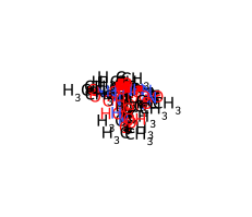 CN(C(=O)OC(C)(C)C)[C@@H]1[C@@H](O)[C@@H](O[C@@H]2[C@@H](O)[C@H](O[C@H]3OC(CNCC4COC(C)(C)N4C(=O)OC(C)(C)C)=CC[C@H]3NC(=O)OC(C)(C)C)[C@@H](NC(=O)OC(C)(C)C)C[C@H]2NC(=O)[C@@H](O)CCNC(=O)OC(C)(C)C)OC[C@]1(C)O